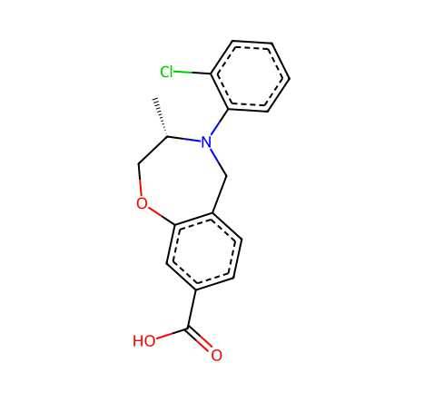 C[C@H]1COc2cc(C(=O)O)ccc2CN1c1ccccc1Cl